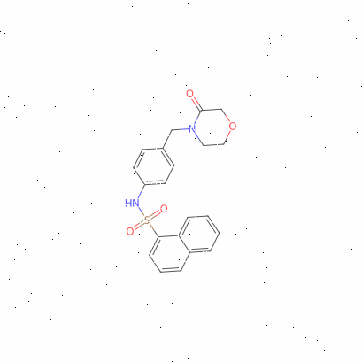 O=C1COCCN1Cc1ccc(NS(=O)(=O)c2cccc3ccccc23)cc1